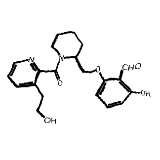 O=Cc1c(O)cccc1OCC1CCCCN1C(=O)c1ncccc1CCO